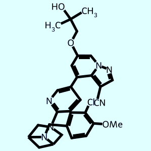 COc1ccc(CN2C3CC2CN(c2ccc(-c4cc(OCC(C)(C)O)cn5ncc(C#N)c45)cn2)C3)cc1Cl